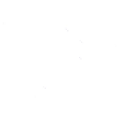 COCCOc1cc(OC2CCN(C)CC2)c2c(Nc3cccc(C)c3)ncnc2c1